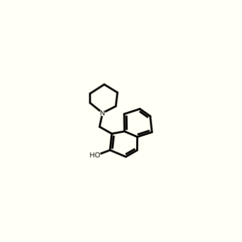 Oc1ccc2ccccc2c1CN1CCCCC1